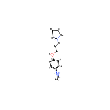 [C-]#[N+]c1ccc(OCCCN2CCCC2)cc1